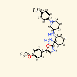 NC1(c2ncc(-c3ccc(OC(F)(F)F)cc3)o2)CCCCC1NC1CCCN(c2ccc(C(F)(F)F)cc2)C1